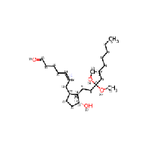 CCCCCCCC(CC[C@@H]1C(C/C=C\CCCC=O)CC[C@H]1O)(OC)OC